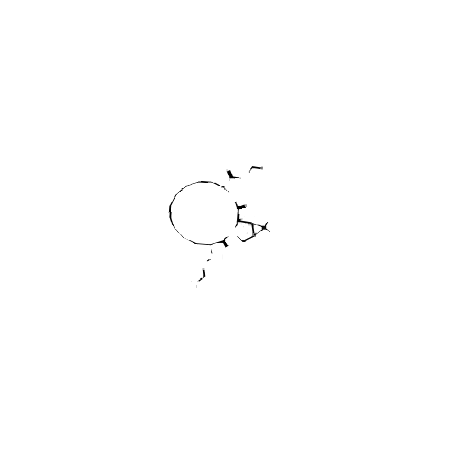 CCOC(=O)[C@@H]1CCCCCCCCC[C@H](BOCN)C(=O)N2C[C@H]3[C@@H]([C@H]2C(=O)N1)C3(C)C